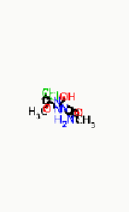 COc1ccc(Cl)c(Cl)c1-c1cnc(N2CCC3(CC2)CO[C@@H](C)[C@H]3N)c(CO)n1